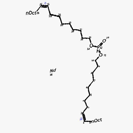 CCCCCCCC/C=C\CCCCCCCCO[PH](=O)OCCCCCCCC/C=C\CCCCCCCC.[Nd]